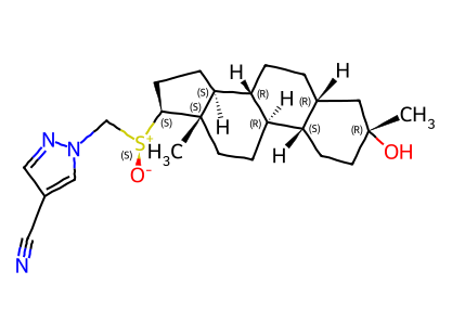 C[C@@]1(O)CC[C@H]2[C@H](CC[C@@H]3[C@@H]2CC[C@]2(C)[C@@H]([S@@+]([O-])Cn4cc(C#N)cn4)CC[C@@H]32)C1